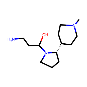 CN1CCC([C@@H]2CCCN2C(O)CCN)CC1